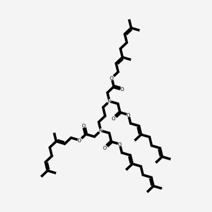 CC(C)=CCC/C(C)=C/COC(=O)CN(CCCN(CC(=O)OC/C=C(\C)CCC=C(C)C)CC(=O)OC/C=C(\C)CCC=C(C)C)CC(=O)OC/C=C(\C)CCC=C(C)C